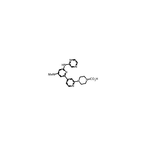 CNc1cc(Nc2cnccn2)nc(-c2ccnc(N3CCN(C(=O)O)CC3)c2)c1